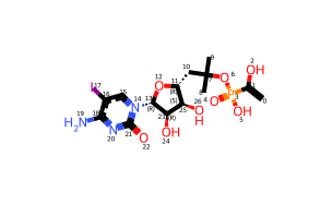 C=C(O)P(=O)(O)OC(C)(C)C[C@H]1O[C@@H](n2cc(I)c(N)nc2=O)[C@H](O)[C@@H]1O